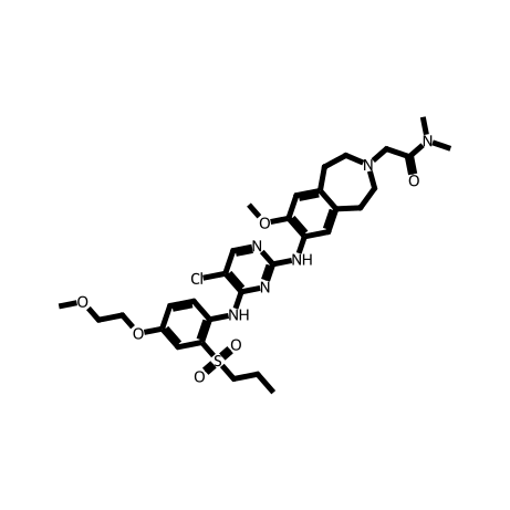 CCCS(=O)(=O)c1cc(OCCOC)ccc1Nc1nc(Nc2cc3c(cc2OC)CCN(CC(=O)N(C)C)CC3)ncc1Cl